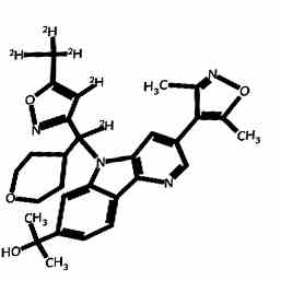 [2H]c1c(C([2H])(C2CCOCC2)n2c3cc(C(C)(C)O)ccc3c3ncc(-c4c(C)noc4C)cc32)noc1C([2H])([2H])[2H]